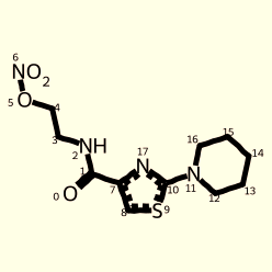 O=C(NCCO[N+](=O)[O-])c1csc(N2CCCCC2)n1